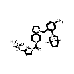 CS(=O)(=O)Nc1ccn(C(=O)N2CCC3(CCCN3Cc3ccc(C(F)(F)F)cc3N3C[C@H]4CC[C@@H](C3)O4)CC2)n1